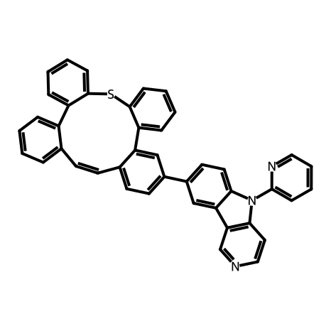 C1=C\c2ccc(-c3ccc4c(c3)c3cnccc3n4-c3ccccn3)cc2-c2ccccc2Sc2ccccc2-c2ccccc2/1